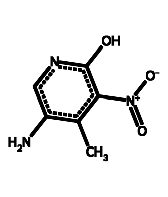 Cc1c(N)cnc(O)c1[N+](=O)[O-]